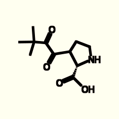 CC(C)(C)C(=O)C(=O)C1CCN[C@@H]1C(=O)O